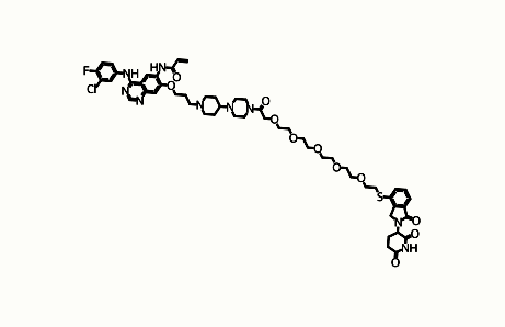 C=CC(=O)Nc1cc2c(Nc3ccc(F)c(Cl)c3)ncnc2cc1OCCCN1CCC(N2CCN(C(=O)COCCOCCOCCOCCOCCSc3cccc4c3CN(C3CCC(=O)NC3=O)C4=O)CC2)CC1